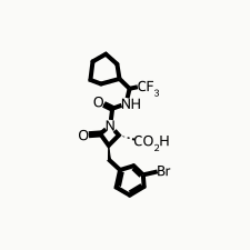 O=C(O)[C@@H]1[C@@H](Cc2cccc(Br)c2)C(=O)N1C(=O)NC(C1CCCCC1)C(F)(F)F